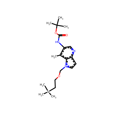 Cc1c(NC(=O)OC(C)(C)C)cnc2ccn(COCC[Si](C)(C)C)c12